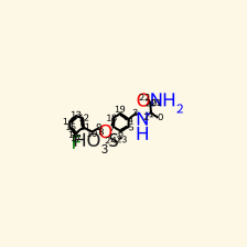 CC(NCc1ccc(OCCc2ccccc2F)cc1)C(N)=O.CS(=O)(=O)O